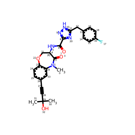 CN1C(=O)[C@H](NC(=O)c2n[nH]c(Cc3ccc(F)cc3)n2)COc2ccc(C#CC(C)(C)O)cc21